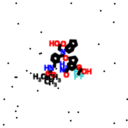 CC(C)(C)OC(=O)NCc1cccc(C(=O)N(CC(=O)O)c2ccc3c(c2)CCC3)c1.NC(=O)c1ccc2c(c1)CCC2.O=C(O)C(F)(F)F